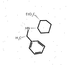 CCOC(=O)[C@@H]1CCCC[C@@H]1N[C@@H](C)c1ccccc1